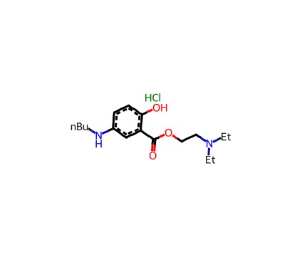 CCCCNc1ccc(O)c(C(=O)OCCN(CC)CC)c1.Cl